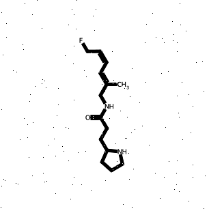 C/C(=C\C=C/CF)CNC(=O)CCC1CCCN1